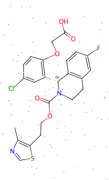 Cc1ncsc1CCOC(=O)N1CCc2cc(F)ccc2[C@H]1c1cc(Cl)ccc1OCC(=O)O